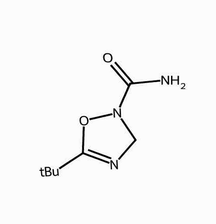 CC(C)(C)C1=NCN(C(N)=O)O1